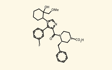 COCC1(O)CCCCC1n1cnc(C(=O)N2CCN(C(=O)O)C[C@H]2Cc2ccccc2)c1-c1cccc(F)c1